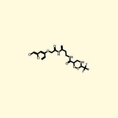 C=C/C(=C\C(Cl)=C\Cl)OCC(=O)NC(=C)CCNC(=O)C1CNC(C(F)(F)F)SO1